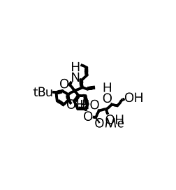 C=CC1=C(/C=C\C)NC(=O)C1(c1ccc(O[C@H](OC)[C@@H](O)C(O)[C@H](O)CCO)cc1)c1cc(C(C)(C)C)ccc1O